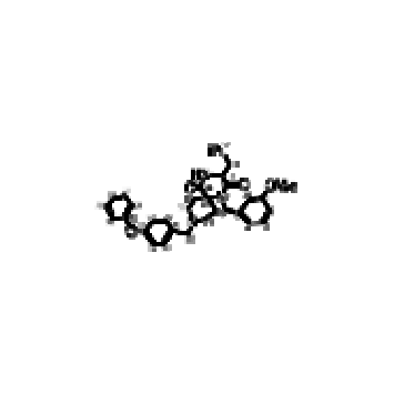 COc1cccc(CN2C(=O)C(CC(C)C)NC(=O)C23CCN(Cc2ccc(Oc4ccccc4)cc2)CC3)c1